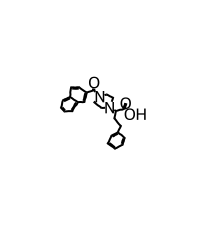 O=C(O)C(CCc1ccccc1)N1CCN(C(=O)c2ccc3ccccc3c2)CC1